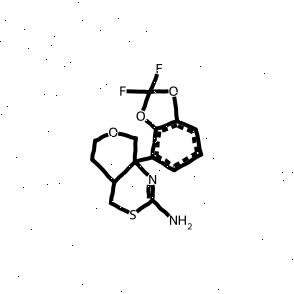 NC1=NC2(c3cccc4c3OC(F)(F)O4)COCCC2CS1